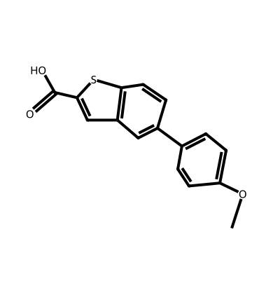 COc1ccc(-c2ccc3sc(C(=O)O)cc3c2)cc1